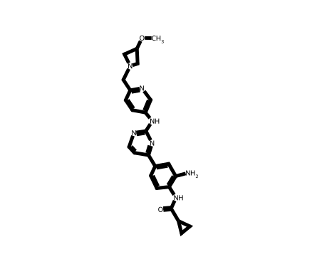 COC1CN(Cc2ccc(Nc3nccc(-c4ccc(NC(=O)C5CC5)c(N)c4)n3)cn2)C1